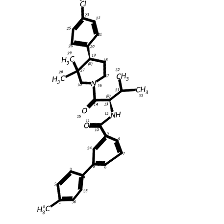 Cc1ccc(-c2cccc(C(=O)N[C@@H](C(=O)N3CC[C@H](c4ccc(Cl)cc4)C(C)(C)C3)C(C)C)c2)cc1